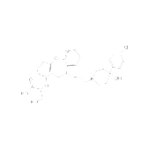 O=C(O)C(CO)Oc1cccc2c1C/C(=C/CCN1CCC(O)(c3ccc(Cl)cc3)CC1)c1cccnc1O2